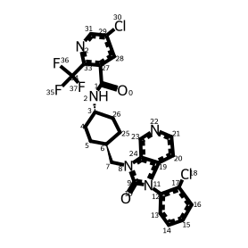 O=C(N[C@H]1CC[C@H](Cn2c(=O)n(-c3ccccc3Cl)c3ccncc32)CC1)c1cc(Cl)cnc1C(F)(F)F